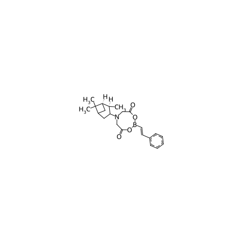 C[C@H]1C(N2CC(=O)OB(/C=C/c3ccccc3)OC(=O)C2)CC2C[C@H]1C2(C)C